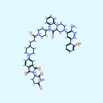 Nc1nnc(-c2ccccc2O)cc1N1CCN(c2ccccc2)C(C(=O)NC2CCN(C(=O)CCC3CCN(c4ccc5c(c4)C(=O)N(C4CCC(=O)NC4=O)C5=O)CC3)CC2)C1